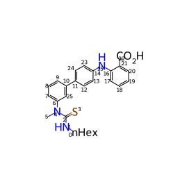 CCCCCCNC(=S)N(C)c1cccc(-c2ccc(Nc3ccccc3C(=O)O)cc2)c1